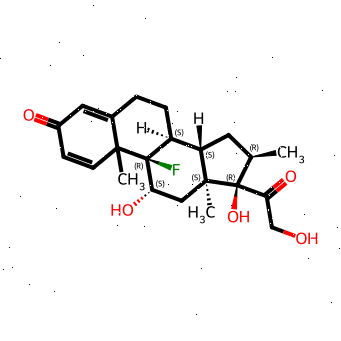 C[C@@H]1C[C@H]2[C@@H]3CCC4=CC(=O)C=CC4(C)[C@@]3(F)[C@@H](O)C[C@]2(C)[C@@]1(O)C(=O)CO